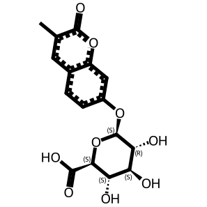 Cc1cc2ccc(O[C@@H]3O[C@H](C(=O)O)[C@@H](O)[C@H](O)[C@H]3O)cc2oc1=O